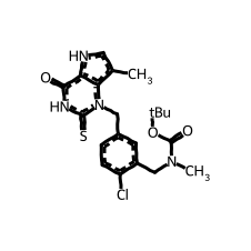 Cc1c[nH]c2c(=O)[nH]c(=S)n(Cc3ccc(Cl)c(CN(C)C(=O)OC(C)(C)C)c3)c12